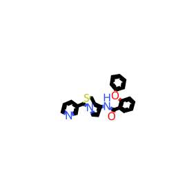 O=C(Nc1ccn2c1CSC2c1cccnc1)c1ccccc1Oc1ccccc1